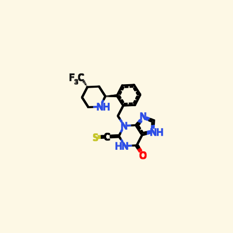 O=C1NC(=C=S)N(Cc2ccccc2[C@@H]2C[C@@H](C(F)(F)F)CCN2)c2nc[nH]c21